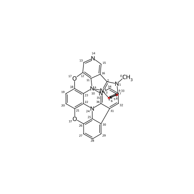 Cn1c2[n+](c3ccccc31)[N+]13c4c(cncc4-2)Oc2ccc4c(c21)-n1c2c(cccc2c2ccc[n+]3c21)O4